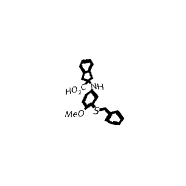 COc1ccc(NC2(C(=O)O)Cc3ccccc3C2)cc1SCc1ccccc1